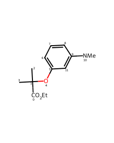 CCOC(=O)C(C)(C)Oc1cccc(NC)c1